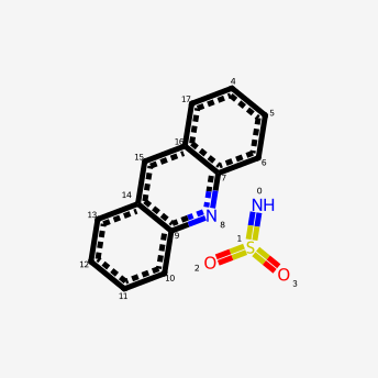 N=S(=O)=O.c1ccc2nc3ccccc3cc2c1